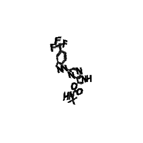 CC(C)(C)NC(=O)Oc1c[nH]c2ncc(-n3ncc4cc(C(F)(F)F)ccc43)nc12